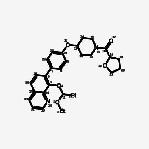 CCOC(CC)Oc1c(-c2ccc(OC3CCN(C(=O)[C@H]4CCCO4)CC3)cc2)ccc2cccnc12